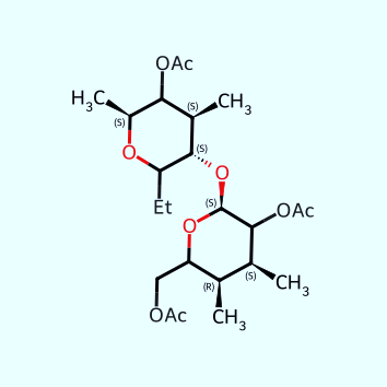 CCC1O[C@@H](C)C(OC(C)=O)[C@@H](C)[C@@H]1O[C@@H]1OC(COC(C)=O)[C@H](C)[C@H](C)C1OC(C)=O